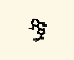 COc1cccc(OC)c1-c1nnc(NN)s1.Cl